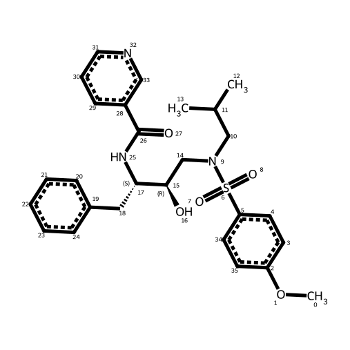 COc1ccc(S(=O)(=O)N(CC(C)C)C[C@@H](O)[C@H](Cc2ccccc2)NC(=O)c2cccnc2)cc1